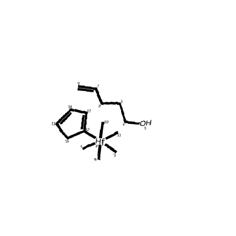 C=CCCCO.[CH3][Hf]([CH3])([CH3])([CH3])([CH3])[C]1=CC=CC1